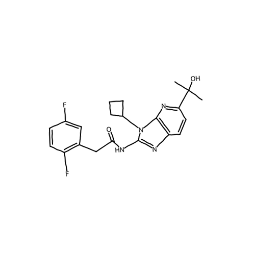 CC(C)(O)c1ccc2nc(NC(=O)Cc3cc(F)ccc3F)n(C3CCC3)c2n1